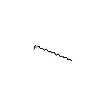 CCCCCCCCCCCCCCCCCCN1CC1